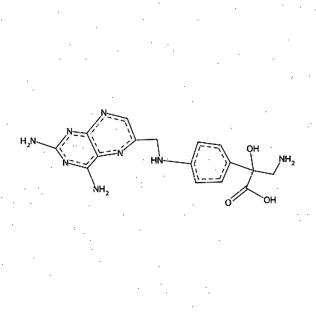 NCC(O)(C(=O)O)c1ccc(NCc2cnc3nc(N)nc(N)c3n2)cc1